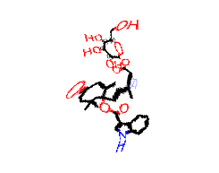 CC1=CC(=O)CC(C)(C)C1(C=C/C(C)=C\C(=O)OC1O[C@H](CO)[C@@H](O)[C@H](O)[C@H]1O)OC(=O)c1c[nH]c2ccccc12